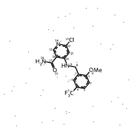 COc1ccc(C(F)(F)F)cc1CNc1cc(Cl)ncc1C(N)=O